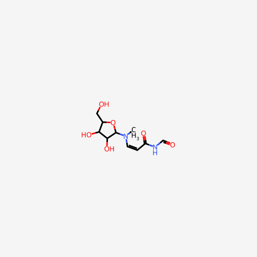 CN(/C=C\C(=O)NC=O)C1OC(CO)C(O)C1O